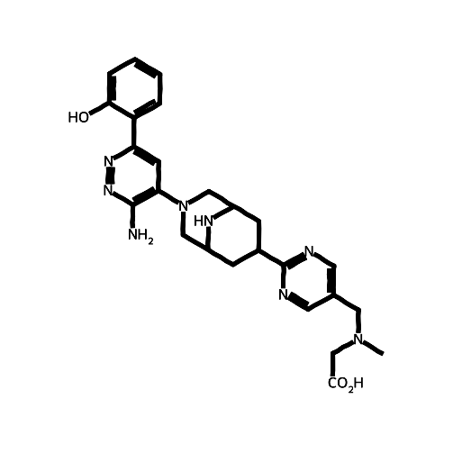 CN(CC(=O)O)Cc1cnc(C2CC3CN(c4cc(-c5ccccc5O)nnc4N)CC(C2)N3)nc1